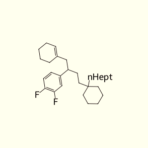 CCCCCCCC1(CCC(CC2=CCCCC2)c2ccc(F)c(F)c2)CCCCC1